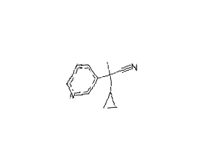 CC(C#N)(c1cccnc1)C1CC1